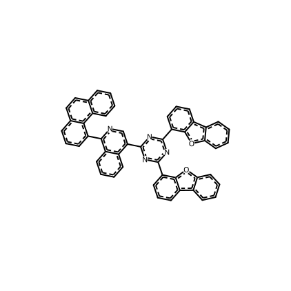 c1ccc2c(c1)ccc1cccc(-c3ncc(-c4nc(-c5cccc6c5oc5ccccc56)nc(-c5cccc6c5oc5ccccc56)n4)c4ccccc34)c12